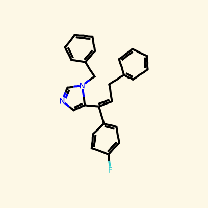 Fc1ccc(C(=CCc2ccccc2)c2cncn2Cc2ccccc2)cc1